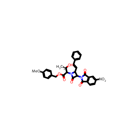 COc1ccc(COC(=O)C([C@@H](C)O)N2C(=O)C(N3C(=O)c4ccc([N+](=O)[O-])cc4C3=O)C2C=Cc2ccccc2)cc1